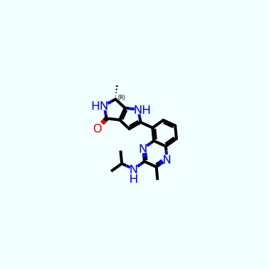 Cc1nc2cccc(-c3cc4c([nH]3)[C@@H](C)NC4=O)c2nc1NC(C)C